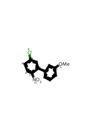 COc1cc[c]c(-c2cc(Cl)ccc2[N+](=O)[O-])c1